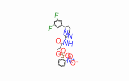 CC(OS(=O)(=O)c1ccccc1[N+](=O)[O-])C(=O)Nc1cn2c(n1)CCC2c1cc(F)cc(F)c1